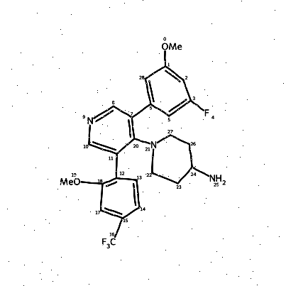 COc1cc(F)cc(-c2cncc(-c3ccc(C(F)(F)F)cc3OC)c2N2CCC(N)CC2)c1